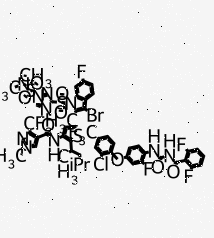 CC(C)CC(C)c1sccc1NC(=O)c1cn(C)nc1C(F)(F)F.Cc1c(Br)c2ccc(F)cc2n1S(=O)(=O)c1ncn(S(=O)(=O)N(C)C)n1.O=C(NC(=O)c1c(F)cccc1F)Nc1ccc(Oc2ccc(C(F)(F)F)cc2Cl)cc1F